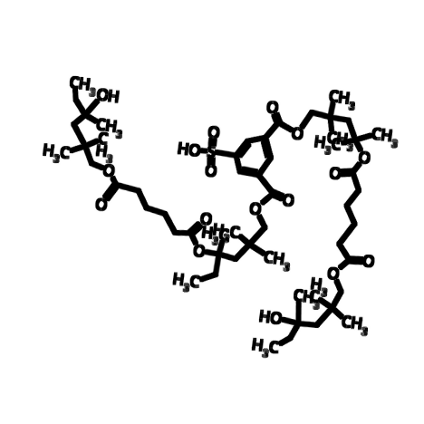 CCC(C)(O)CC(C)(C)COC(=O)CCCCC(=O)OC(C)(C)CC(C)(C)COC(=O)c1cc(C(=O)OCC(C)(C)CC(C)(CC)OC(=O)CCCCC(=O)OCC(C)(C)CC(C)(O)CC)cc(S(=O)(=O)O)c1